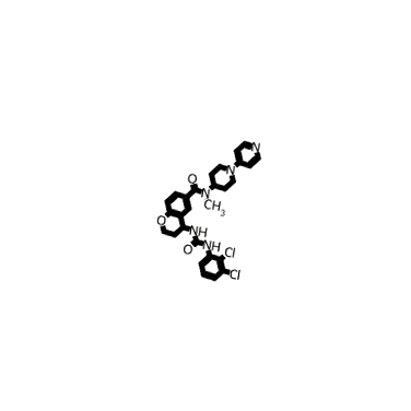 CN(C(=O)c1ccc2c(c1)C(NC(=O)Nc1cccc(Cl)c1Cl)CCO2)C1CCN(c2ccncc2)CC1